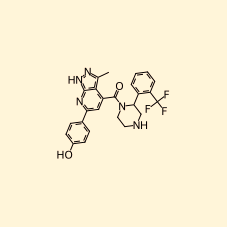 Cc1n[nH]c2nc(-c3ccc(O)cc3)cc(C(=O)N3CCNCC3c3ccccc3C(F)(F)F)c12